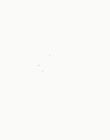 CC1(C)O[C@@H]2[C@H](CCc3ccnc4c3CCCC4)C[C@@H](n3ccc4c(N)ncnc43)[C@@H]2O1